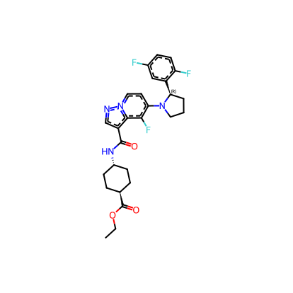 CCOC(=O)[C@H]1CC[C@H](NC(=O)c2cnn3ccc(N4CCC[C@@H]4c4cc(F)ccc4F)c(F)c23)CC1